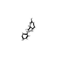 Cc1ccc2nn(-c3ccccc3)cc2n1